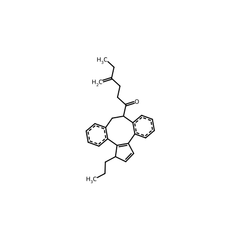 C=C(CC)CCC(=O)C1Cc2ccccc2C2=C(C=CC2CCC)c2ccccc21